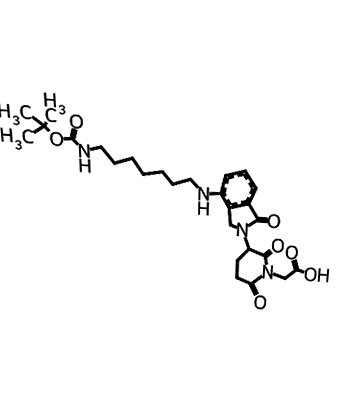 CC(C)(C)OC(=O)NCCCCCCCNc1cccc2c1CN(C1CCC(=O)N(CC(=O)O)C1=O)C2=O